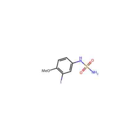 COc1ccc(NS(N)(=O)=O)cc1I